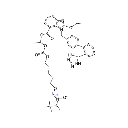 CCOc1nc2cccc(C(=O)OC(C)OC(=O)OCCCCCO/N=[N+](\[O-])N(C)C(C)(C)C)c2n1Cc1ccc(-c2ccccc2C2NN=NN2)cc1